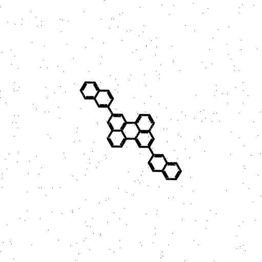 c1ccc2cc(-c3cc4cccc5c6cc(-c7ccc8ccccc8c7)cc7cccc(c(c3)c45)c76)ccc2c1